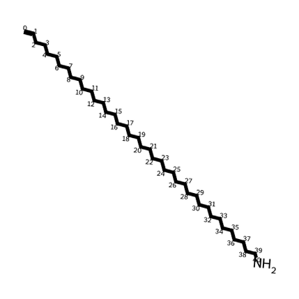 C=CCCCCCCCCCCCCCCCCCCCCCCCCCCCCCCCCCCCCCCN